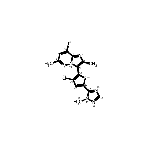 Cc1cc(I)c2nc(C)c(-c3sc(-c4ncnn4C)cc3Cl)n2n1